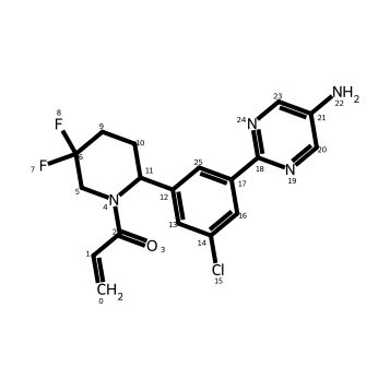 C=CC(=O)N1CC(F)(F)CCC1c1cc(Cl)cc(-c2ncc(N)cn2)c1